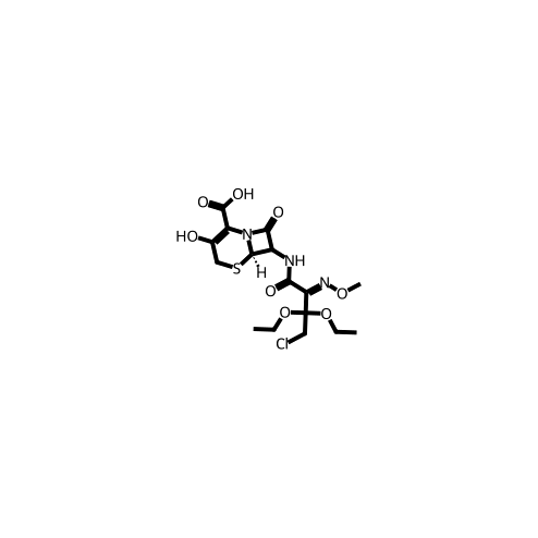 CCOC(CCl)(OCC)C(=NOC)C(=O)NC1C(=O)N2C(C(=O)O)=C(O)CS[C@H]12